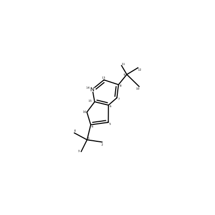 CC(C)(C)C1=Cc2cc(C(C)(C)C)cnc2C1